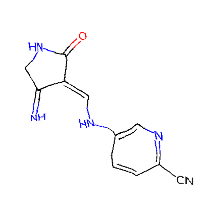 N#Cc1ccc(N/C=C2\C(=N)CNC2=O)cn1